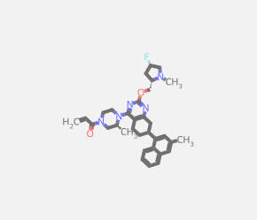 C=CC(=O)N1CCN(c2nc(OC[C@@H]3C[C@@H](F)CN3C)nc3c2CCC(c2cc(C)cc4ccccc24)C3)[C@@H](C)C1